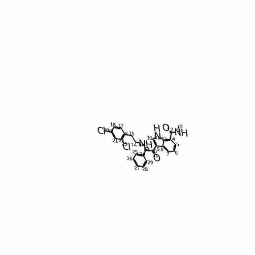 CNC(=O)c1cccc2c(C(=O)[C@@H](NCCc3ccc(Cl)cc3Cl)c3ccccc3)c[nH]c12